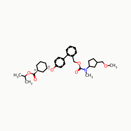 COCC1CCC(N(C)C(=O)OCc2ccccc2-c2ccc(O[C@H]3CCC[C@H](C(=O)OC(C)C)C3)cc2)C1